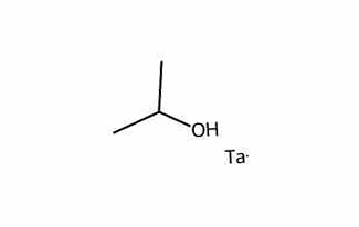 CC(C)O.[Ta]